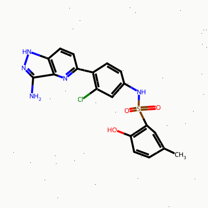 Cc1ccc(O)c(S(=O)(=O)Nc2ccc(-c3ccc4[nH]nc(N)c4n3)c(Cl)c2)c1